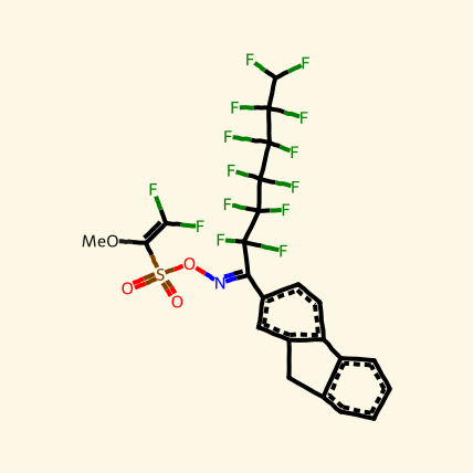 COC(=C(F)F)S(=O)(=O)ON=C(c1ccc2c(c1)Cc1ccccc1-2)C(F)(F)C(F)(F)C(F)(F)C(F)(F)C(F)(F)C(F)F